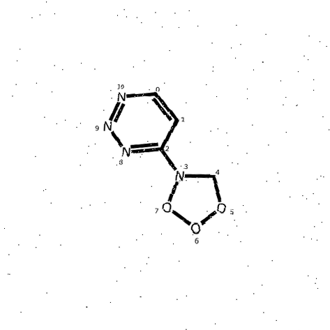 c1cc(N2COOO2)nnn1